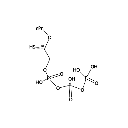 CCCO[C@@H](S)COP(=O)(O)OP(=O)(O)OP(=O)(O)O